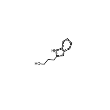 OCCCc1cc2c[c]ccc2[nH]1